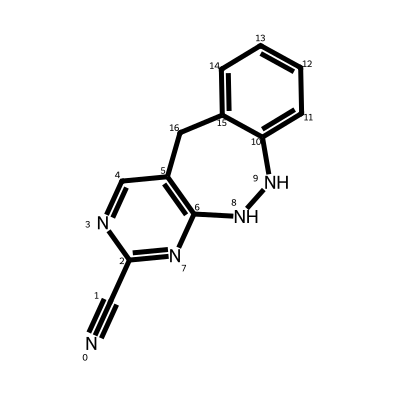 N#Cc1ncc2c(n1)NNc1ccccc1C2